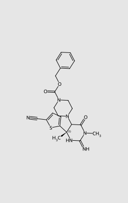 CN1C(=N)N[C@](C)(c2ccc(C#N)s2)C(N2CCN(C(=O)OCc3ccccc3)CC2)C1=O